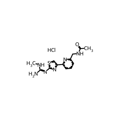 CNC(N)=Nc1nc(-c2cccc(CNC(C)=O)n2)cs1.Cl